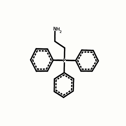 NCC[P](c1ccccc1)(c1ccccc1)c1ccccc1